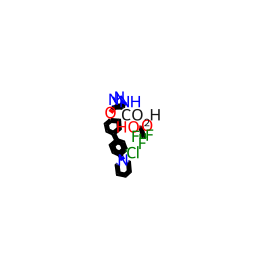 O=C(O)C(F)(F)F.O=C(O)c1[nH]nnc1OC1CCC(c2ccc(N3CCCCC3)c(Cl)c2)CC1